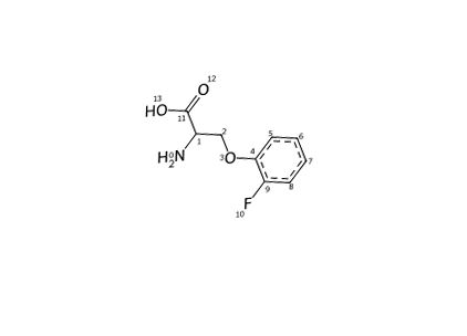 NC(COc1ccccc1F)C(=O)O